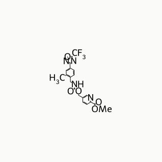 COC(=O)c1ccc(COC(=O)NCc2ccc(-c3noc(C(F)(F)F)n3)cc2C)cn1